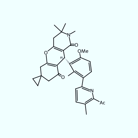 COc1ccc(-c2ccc(C)c(C(C)=O)n2)c(C)c1[C@@H]1C2=C(CC3(CC3)CC2=O)OC2=C1C(=O)N(C)C(C)(C)C2